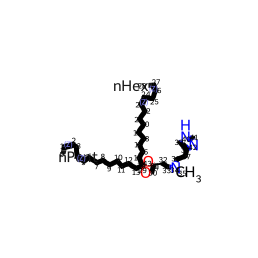 CCCCC/C=C\C/C=C\CCCCCCCCC1(CCCCCCCC/C=C\C/C=C\CCCCCC)OC[C@H](CCN(C)CCc2c[nH]cn2)O1